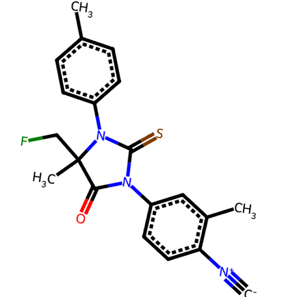 [C-]#[N+]c1ccc(N2C(=O)C(C)(CF)N(c3ccc(C)cc3)C2=S)cc1C